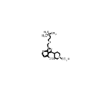 COc1ccnc2c1c(C1CCN(C(=O)O)CC1)nn2COCC[Si](C)(C)C